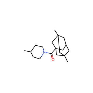 CC1CCN(C(=O)C23CC4CC(C)(CC(C)(C4)C2)C3)CC1